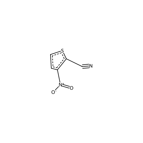 N#Cc1sccc1[N+](=O)[O-]